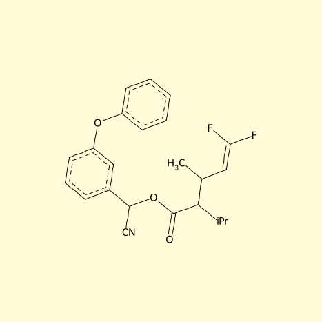 CC(C)C(C(=O)OC(C#N)c1cccc(Oc2ccccc2)c1)C(C)C=C(F)F